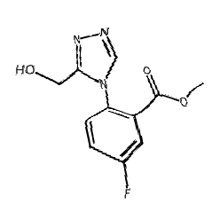 COC(=O)c1cc(F)ccc1-n1cnnc1CO